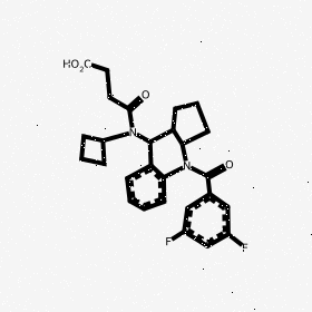 O=C(O)CCC(=O)N(C1CCC1)C1c2ccccc2N(C(=O)c2cc(F)cc(F)c2)C2CCCC21